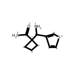 NC(=O)C1(C(N)c2ccsc2)CCC1